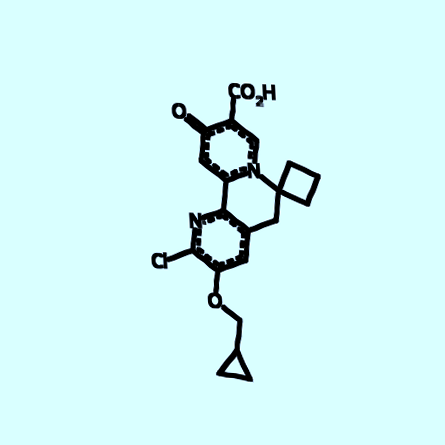 O=C(O)c1cn2c(cc1=O)-c1nc(Cl)c(OCC3CC3)cc1CC21CCC1